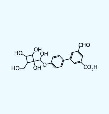 O=Cc1cc(C(=O)O)cc(-c2ccc(OC(O)C3(O)C(O)C(O)C3CO)cc2)c1